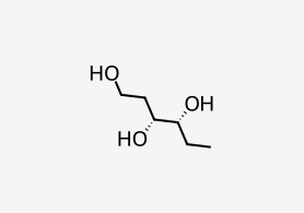 CC[C@@H](O)[C@H](O)CCO